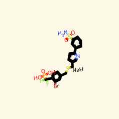 NS(=O)(=O)c1cccc(-c2ccc(CSCc3ccc(C(F)(F)P(=O)(O)O)c(Br)c3)cn2)c1.[NaH]